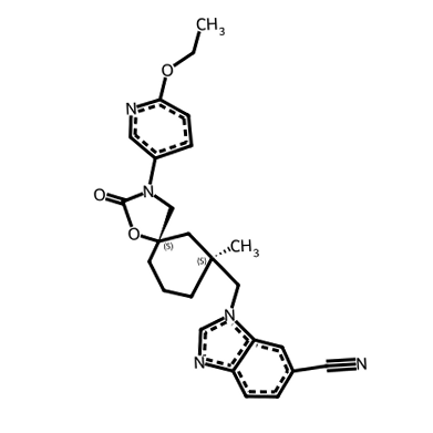 CCOc1ccc(N2C[C@@]3(CCC[C@](C)(Cn4cnc5ccc(C#N)cc54)C3)OC2=O)cn1